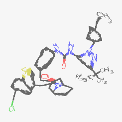 Cc1ccc(-n2nc(C(C)(C)C)cc2NC(=O)Nc2cccc(CC3CC4CCC(C3)N4C(=O)Cc3csc4ccc(Cl)cc34)c2)cc1